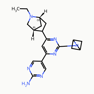 CCN1C[C@@H]2C[C@H]1CC2c1cc(-c2cnc(N)nc2)nc(N2CC3CC2C3)n1